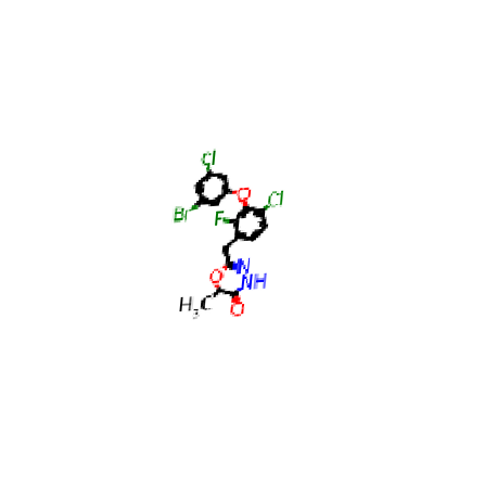 CC1OC(Cc2ccc(Cl)c(Oc3cc(Cl)cc(Br)c3)c2F)=NNC1=O